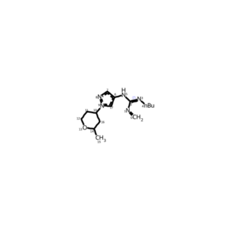 C=N/C(=N\CCCC)Nc1cnn(C2CCOC(C)C2)c1